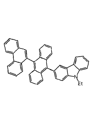 CCn1c2ccccc2c2cc(-c3c4ccccc4c(-c4cc5ccccc5c5ccccc45)c4ccccc34)ccc21